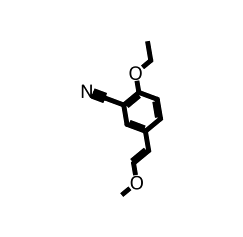 CCOc1ccc(/C=C/OC)cc1C#N